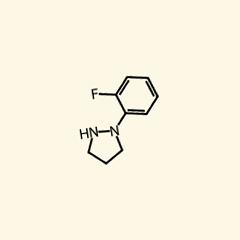 Fc1ccccc1N1CCCN1